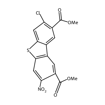 COC(=O)c1cc2c(cc1Cl)sc1cc([N+](=O)[O-])c(C(=O)OC)cc12